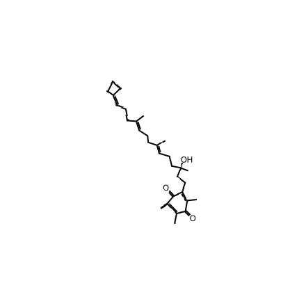 CC1=C(C)C(=O)C(CCC(C)(O)CC/C=C(\C)CC/C=C(\C)CCC=C2CCC2)=C(C)C1=O